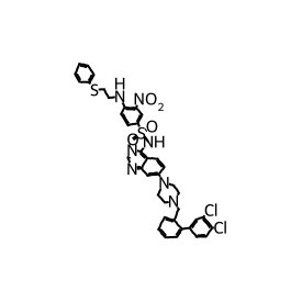 O=[N+]([O-])c1cc(S(=O)(=O)Nc2ncnc3cc(N4CCN(Cc5ccccc5-c5ccc(Cl)c(Cl)c5)CC4)ccc23)ccc1NCCSc1ccccc1